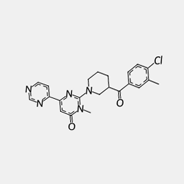 Cc1cc(C(=O)C2CCCN(c3nc(-c4ccncn4)cc(=O)n3C)C2)ccc1Cl